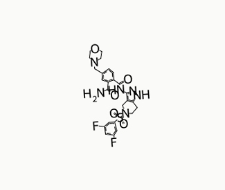 NC(=O)c1cc(CN2CCOCC2)ccc1C(=O)Nc1n[nH]c2c1CN(S(=O)(=O)c1cc(F)cc(F)c1)CC2